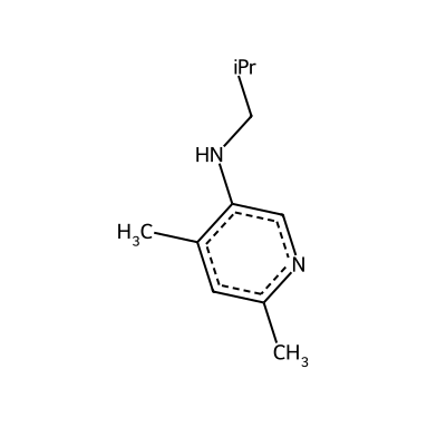 Cc1cc(C)c(NCC(C)C)cn1